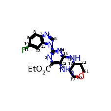 CCOC(=O)c1nc(-n2cnc3ccc(F)cc32)nc(NC2CCOCC2)c1N